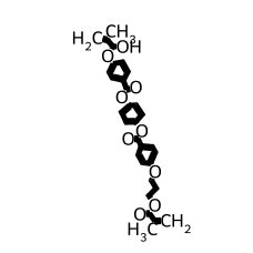 C=C(C)C(=O)OCCCOc1ccc(C(=O)Oc2ccc(OC(=O)c3ccc(OC(O)C(=C)C)cc3)cc2)cc1